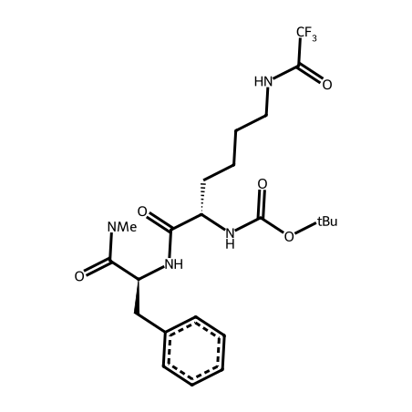 CNC(=O)[C@H](Cc1ccccc1)NC(=O)[C@H](CCCCNC(=O)C(F)(F)F)NC(=O)OC(C)(C)C